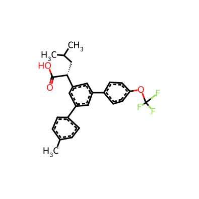 Cc1ccc(-c2cc(-c3ccc(OC(F)(F)F)cc3)cc([C@@H](CC(C)C)C(=O)O)c2)cc1